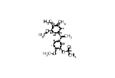 C=C(c1ccc(OC)c(OC(C)=O)c1)c1cc(C)c(C)c(OC)c1